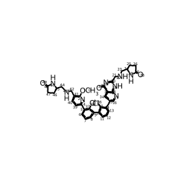 COc1nc(-c2cccc(-c3cccc(-c4cnc5[nH]c(CNCC6CCC(=O)N6)nc(=O)c5c4)c3Cl)c2Cl)ccc1CNCC1CCC(=O)N1